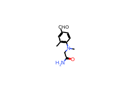 Cc1cc(C=O)ccc1N(C)CC(N)=O